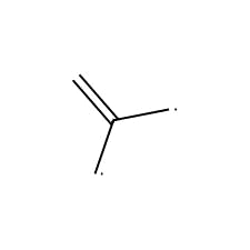 [CH2]C([CH2])=C